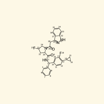 O=C(NC(c1ccccc1)c1ccc(C2CC2)c(F)c1)C1CC(F)CN1C(=O)Cc1n[nH]c2ccccc12